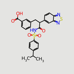 CC(C)c1ccc(S(=O)(=O)NC(=O)C(Cc2cccc(C(=O)O)c2)c2ccc3nsnc3c2)cc1